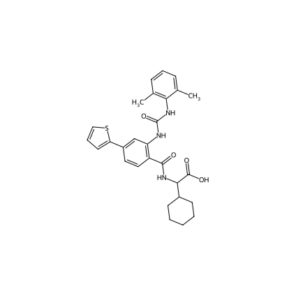 Cc1cccc(C)c1NC(=O)Nc1cc(-c2cccs2)ccc1C(=O)NC(C(=O)O)C1CCCCC1